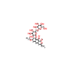 COc1cc(O[C@@H]2O[C@H](COC3OC(CO)[C@@H](O)C(O)[C@H]3O)C(O)[C@H](O)C2O)c2c(O)c3c(=O)oc(C)cc3cc2c1